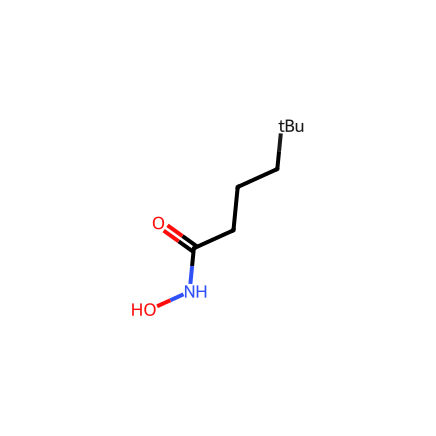 CC(C)(C)CCCC(=O)NO